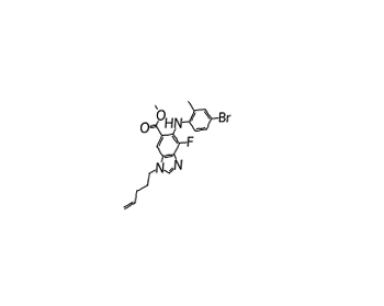 C=CCCCn1cnc2c(F)c(Nc3ccc(Br)cc3C)c(C(=O)OC)cc21